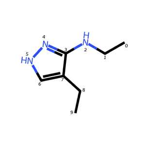 CCNc1n[nH]cc1CC